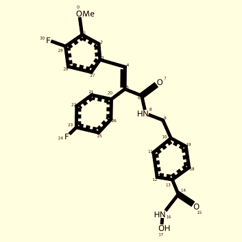 COc1cc(C=C(C(=O)NCc2ccc(C(=O)NO)cc2)c2ccc(F)cc2)ccc1F